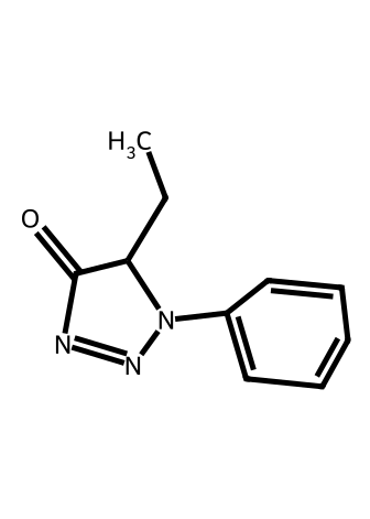 CCC1C(=O)N=NN1c1ccccc1